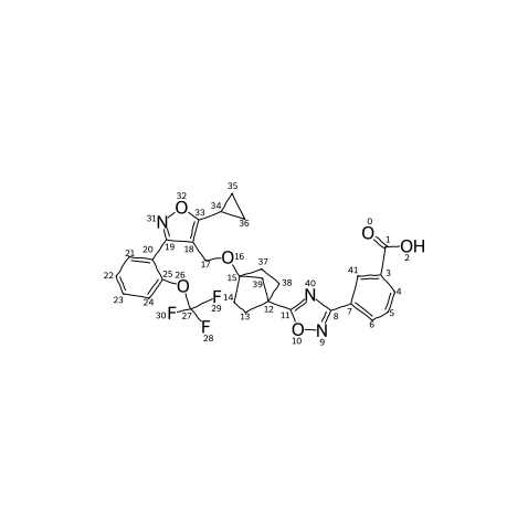 O=C(O)c1cccc(-c2noc(C34CCC(OCc5c(-c6ccccc6OC(F)(F)F)noc5C5CC5)(CC3)C4)n2)c1